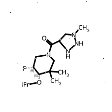 CC(C)O[C@@H]1[C@H](F)CN(C(=O)C2CN(C)NN2)CC1(C)C